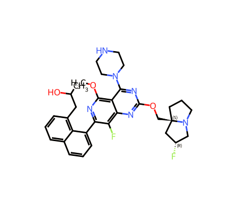 COc1nc(-c2cccc3cccc(CC(C)O)c23)c(F)c2nc(OC[C@@]34CCCN3C[C@H](F)C4)nc(N3CCNCC3)c12